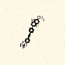 CC1CC[C@@H]2C[C@H](c3ccc(C#Cc4ccc(OC(F)(F)F)cc4)cc3)CC[C@@H]2C1